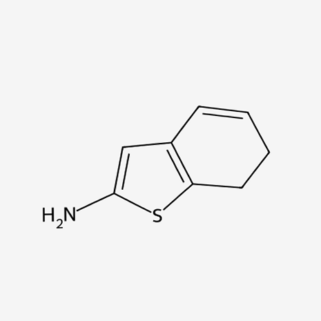 Nc1cc2c(s1)CCC=C2